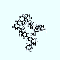 CC1(NC(=O)OC(C)(C)C)CCN(Cc2ccnc(C(=O)Nc3ccc(-c4cc5c(N6CCOCC6)ncnc5n4COCC[Si](C)(C)C)cc3)c2)CC1